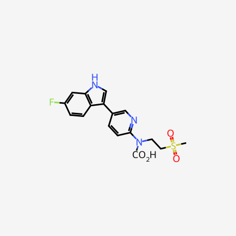 CS(=O)(=O)CCN(C(=O)O)c1ccc(-c2c[nH]c3cc(F)ccc23)cn1